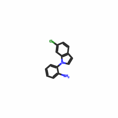 Nc1ccccc1-n1ccc2ccc(Cl)cc21